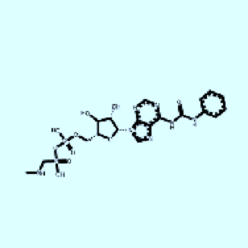 CNCP(=O)(O)OP(=O)(O)OC[C@H]1O[C@@H](n2cnc3c(NC(=O)Nc4ccccc4)ncnc32)[C@@H](O)C1O